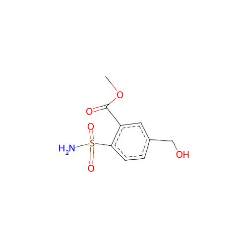 COC(=O)c1cc(CO)ccc1S(N)(=O)=O